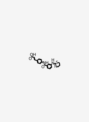 O=C(O)C=Cc1ccc(NC(=O)c2cccc(NC3=NCCCS3)c2)cc1